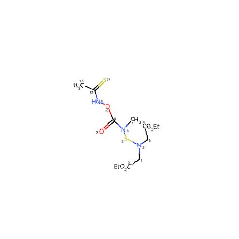 CCOC(=O)CN(CC(=O)OCC)SN(C)C(=O)ONC(C)=S